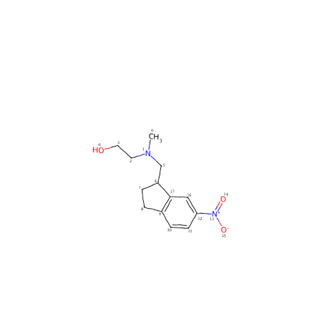 CN(CCO)CC1CCc2ccc([N+](=O)[O-])cc21